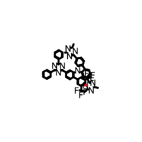 Cc1nc(C)nc(-c2ccc3c4ccc(-c5nc(C)nc(C)n5)cc4n(-c4cc(-c5nc(-c6ccccc6)nc(-c6ccccc6)n5)ccc4-c4cc(C(F)(F)F)cc(C(F)(F)F)c4)c3c2)n1